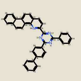 c1ccc(-c2ccc(-c3nc(-c4ccccc4)nc(-c4ccc5ccc6c7ccccc7ccc6c5n4)n3)cc2)cc1